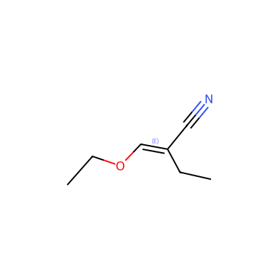 CCO/C=C(/C#N)CC